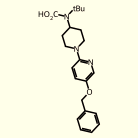 CC(C)(C)N(C(=O)O)C1CCN(c2ccc(OCc3ccccc3)cn2)CC1